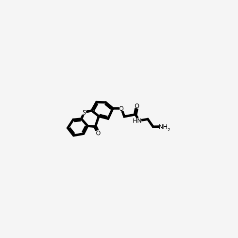 NCCNC(=O)COc1ccc2sc3ccccc3c(=O)c2c1